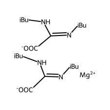 CCC(C)N=C(NC(C)CC)C(=O)[O-].CCC(C)N=C(NC(C)CC)C(=O)[O-].[Mg+2]